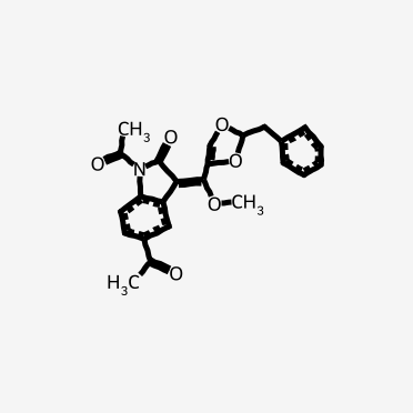 COC(C1=COC(Cc2ccccc2)O1)=C1C(=O)N(C(C)=O)c2ccc(C(C)=O)cc21